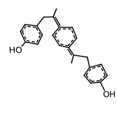 CC(Cc1ccc(O)cc1)=c1ccc(=C(C)Cc2ccc(O)cc2)cc1